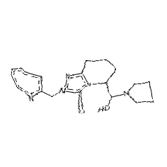 O=c1n(Cc2ccccn2)nc2n1C(C(O)N1CCCC1)CCC2